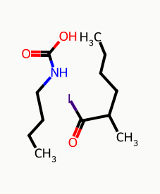 CCCCC(C)C(=O)I.CCCCNC(=O)O